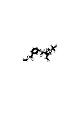 CCOC(=O)c1cccc(NC(=O)c2nn(C(C)(C)C)nc2CC)c1